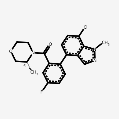 C[C@@H]1COCCN1C(=O)c1cc(F)ccc1-c1ccc(Cl)c2c1cnn2C